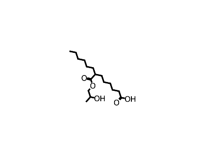 CCCCCCC(CCCCCC(=O)O)C(=O)OCC(C)O